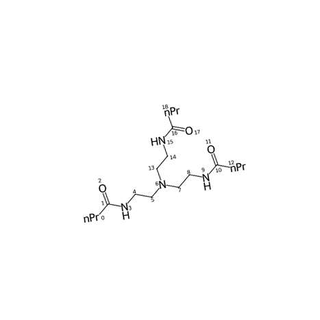 CCCC(=O)NCCN(CCNC(=O)CCC)CCNC(=O)CCC